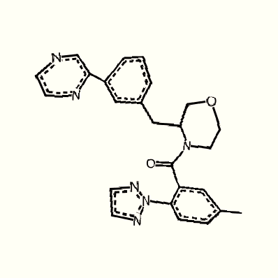 Cc1ccc(-n2nccn2)c(C(=O)N2CCOCC2Cc2cccc(-c3cnccn3)c2)c1